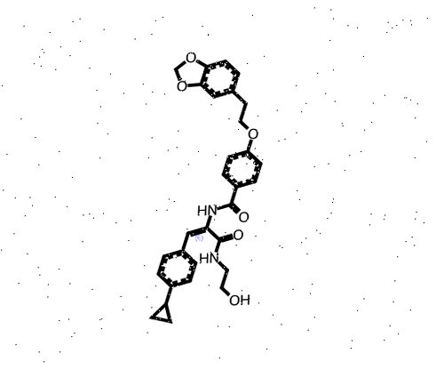 O=C(NCCO)/C(=C\c1ccc(C2CC2)cc1)NC(=O)c1ccc(OCCc2ccc3c(c2)OCO3)cc1